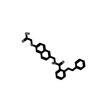 O=C(O)COc1ccc2cc(CNC(=O)c3ccccc3CCc3ccccc3)ccc2c1